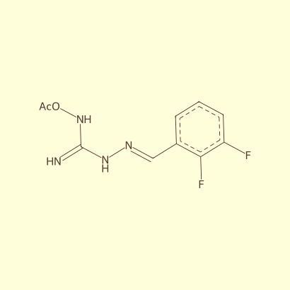 CC(=O)ONC(=N)NN=Cc1cccc(F)c1F